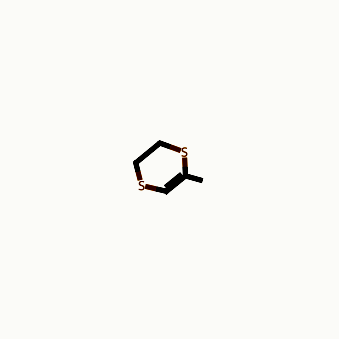 CC1=[C]SCCS1